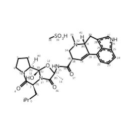 CC(C)C[C@H]1C(=O)N2CCC[C@H]2[C@]2(O)O[C@@](C)(NC(=O)[C@@H]3C=C4c5cccc6[nH]cc(c56)C[C@H]4N(C)C3)C(=O)N12.CS(=O)(=O)O